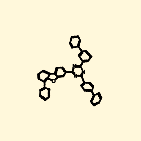 c1ccc(-c2ccc(-c3nc(-c4cccc(-c5ccccc5)c4)nc(-c4ccc5c(c4)oc4c(-c6ccccc6)cccc45)n3)cc2)cc1